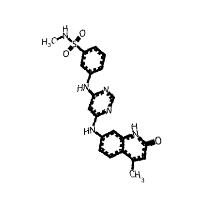 CNS(=O)(=O)c1cccc(Nc2cc(Nc3ccc4c(C)cc(=O)[nH]c4c3)ncn2)c1